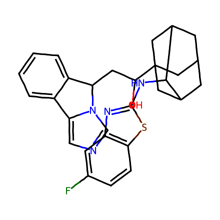 OC(CC1c2ccccc2-c2cncn21)C12CC3CC(C1)C(Nc1nc4cc(F)ccc4s1)C(C3)C2